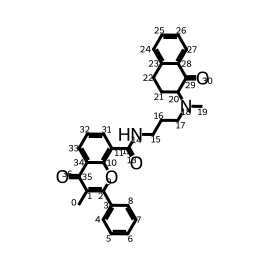 Cc1c(-c2ccccc2)oc2c(C(=O)NCCCN(C)C3CCc4ccccc4C3=O)cccc2c1=O